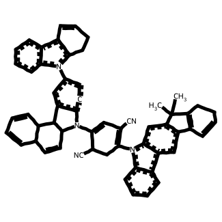 CC1(C)C2=C(C=CCC2)c2cc3c4ccccc4n(C4=C(C#N)C=C(N5c6ccc(-n7c8c(c9ccccc97)C=CCC8)cc6C6C7C=CC=CC7C=CC65)C(C#N)C4)c3cc21